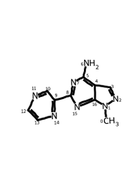 Cn1ncc2c(N)nc(-c3cnccn3)nc21